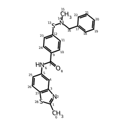 Cc1nc2cc(NC(=O)c3ccc(SN(C)Cc4ccccc4)cc3)ccc2s1